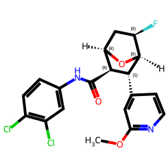 COc1cc([C@H]2[C@H]3O[C@H](C[C@H]3F)[C@@H]2C(=O)Nc2ccc(Cl)c(Cl)c2)ccn1